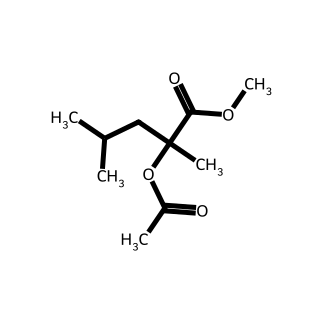 COC(=O)C(C)(CC(C)C)OC(C)=O